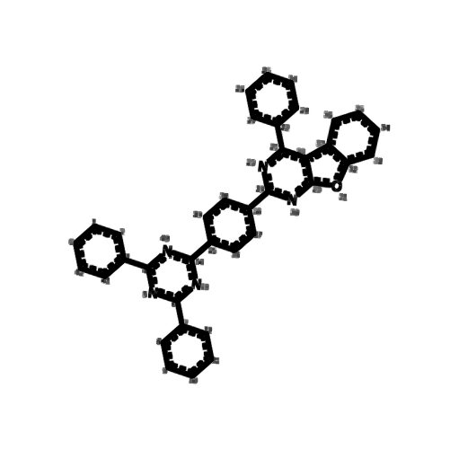 c1ccc(-c2nc(-c3ccccc3)nc(-c3ccc(-c4nc(-c5ccccc5)c5c(n4)oc4ccccc45)cc3)n2)cc1